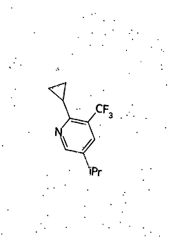 CC(C)c1cnc(C2CC2)c(C(F)(F)F)c1